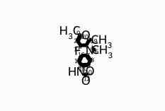 CC1=CCC(N(C)c2cc3oc(=O)[nH]c3cc2F)C(C)O1